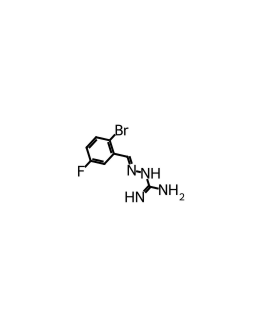 N=C(N)NN=Cc1cc(F)ccc1Br